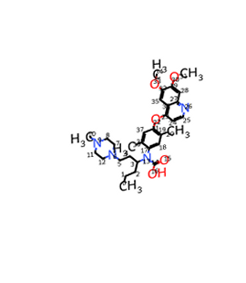 CCCC(CCN1CCN(C)CC1)N(C(=O)O)c1cc(C)c(Oc2ccnc3cc(OC)c(OC)cc23)cc1C